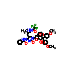 COc1ccc(C(c2ccccc2)(c2ccc(OC)cc2)C(O)[C@H]2O[C@@H](n3cc(C=C(C)CNC(=O)C(F)(F)F)c(NC(=O)c4ccccc4)nc3=O)C[C@@H]2O)cc1